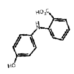 O=C(O)c1ccccc1Nc1ccc(O)cc1